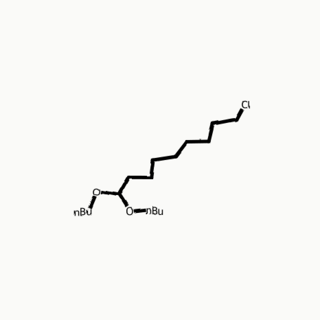 CCCCOC(CCCCCCCCCl)OCCCC